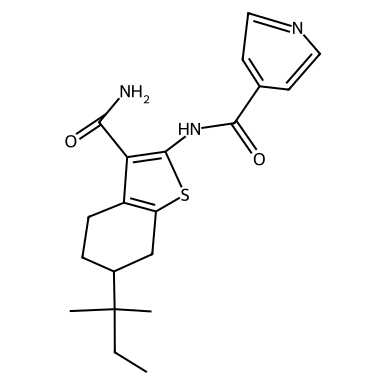 CCC(C)(C)C1CCc2c(sc(NC(=O)c3ccncc3)c2C(N)=O)C1